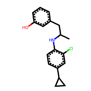 CC(Cc1cccc(O)c1)Nc1ccc(C2CC2)cc1Cl